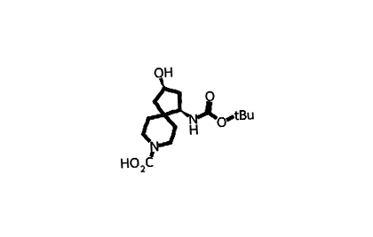 CC(C)(C)OC(=O)N[C@@H]1C[C@H](O)CC12CCN(C(=O)O)CC2